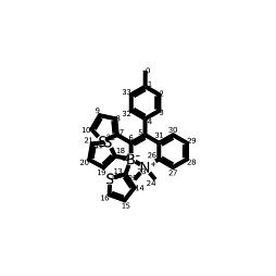 Cc1ccc(C2=C(c3cccs3)[B-](c3cccs3)(c3cccs3)[N+](C)(C)c3ccccc32)cc1